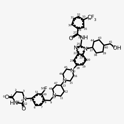 O=C1CCN(c2ccc(CN3CCC(N4CCN(c5ccc6c(c5)nc(NC(=O)c5cccc(C(F)(F)F)c5)n6C5CCC(CO)CC5)CC4)CC3)c(F)c2)C(=O)N1